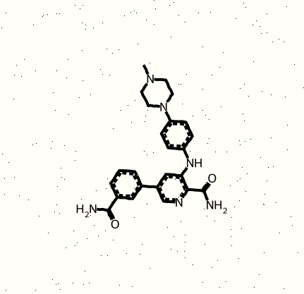 CN1CCN(c2ccc(Nc3cc(-c4cccc(C(N)=O)c4)cnc3C(N)=O)cc2)CC1